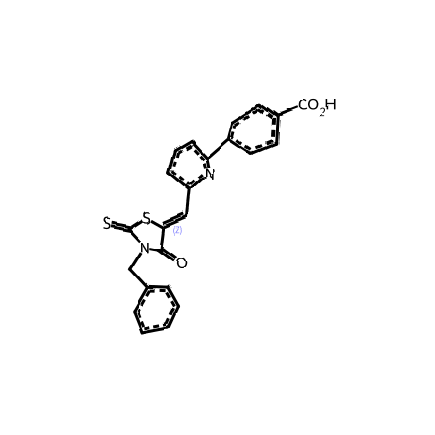 O=C(O)c1ccc(-c2cccc(/C=C3\SC(=S)N(Cc4ccccc4)C3=O)n2)cc1